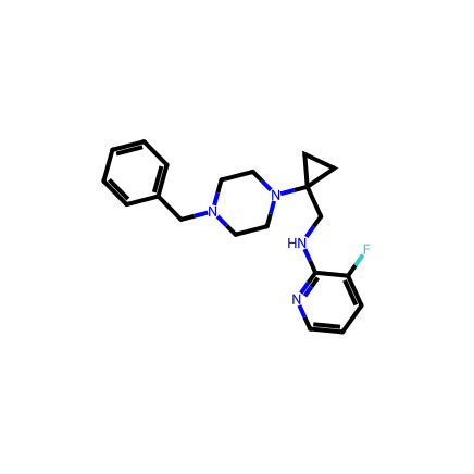 Fc1cccnc1NCC1(N2CCN(Cc3ccccc3)CC2)CC1